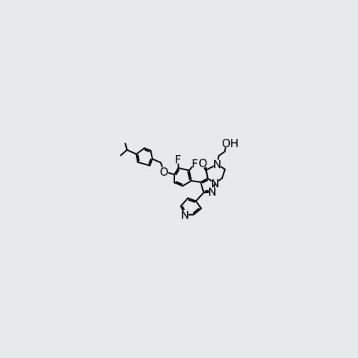 CC(C)c1ccc(COc2ccc(-c3c(-c4ccncc4)nn4c3C(=O)N(CCO)CC4)c(F)c2F)cc1